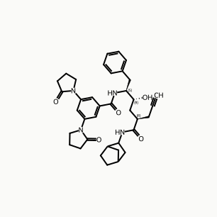 C#CC[C@H](C[C@@H](O)[C@H](Cc1ccccc1)NC(=O)c1cc(N2CCCC2=O)cc(N2CCCC2=O)c1)C(=O)NC1CC2CCC1C2